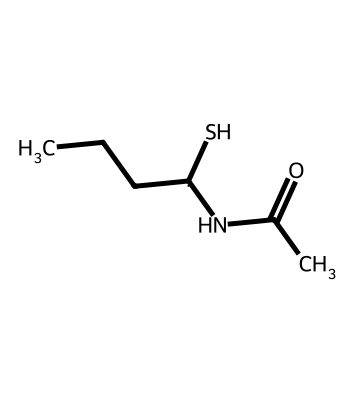 CCC[C](S)NC(C)=O